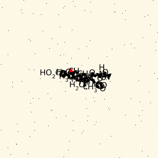 C=C(C)[C@@H]1CC[C@]2(CN(CCCN3CCS(=O)(=O)CC3)C(=O)CCC(=O)NS(=O)(=O)C3CC3)CC[C@]3(C)[C@H](CC[C@@H]4[C@@]5(C)CC=C(c6ccc(C(=O)O)cc6)C(C)(C)[C@@H]5CC[C@]43C)[C@@H]12